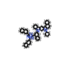 c1ccc(-n2c3cc4c(cc3c3c5ccccc5ccc32)c2ccccc2n4-c2cc(-c3nc(-c4ccc5ccccc5c4)nc(-c4ccc5ccccc5c4)n3)c3ccccc3c2)cc1